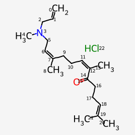 C=CCN(C)CC=C(C)CCC=C(C)C(=O)CCC=C(C)C.Cl